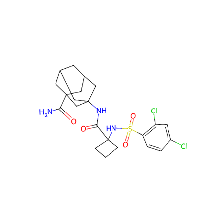 NC(=O)C12CC3CC(CC(NC(=O)C4(NS(=O)(=O)c5ccc(Cl)cc5Cl)CCC4)(C3)C1)C2